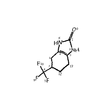 O=c1[nH]c2c([nH]1)CC(C(F)(F)F)CC2